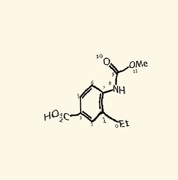 CCc1cc(C(=O)O)ccc1NC(=O)OC